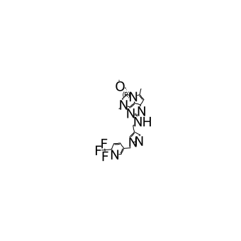 COC[C@H]1CN(C)c2nc(NCc3cnn(Cc4ccc(C(F)(F)F)nc4)c3)nc3cc(C)n1c23